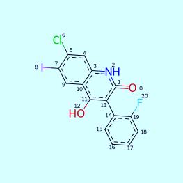 O=c1[nH]c2cc(Cl)c(I)cc2c(O)c1-c1ccccc1F